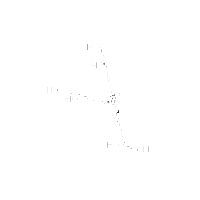 CCCCCCC(C)CCCCCCCCCCC(=O)OCC(COC(=O)CCCCCCCCCCC(O)CCCCCC)OC(=O)CCCCCCCCCCC(O)CCCCCC